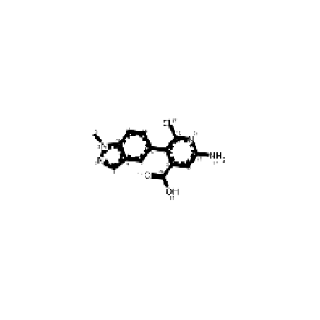 Cn1ncc2cc(-c3c(C(=O)O)cc(N)nc3Cl)ccc21